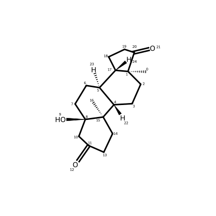 C[C@]12CC[C@H]3[C@@H](CC[C@@]4(O)CC(=O)CC[C@]34C)[C@@H]1CCC2=O